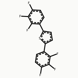 Fc1ccc(-c2ccc(-c3ccc(F)c(F)c3F)s2)c(F)c1F